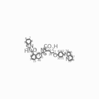 O=C(Nc1nc2ccccc2s1)c1cccc2c1CN(c1nc(C(=O)O)c(CCCOc3ccc(-n4ccc5cccnc54)cc3)s1)CC2